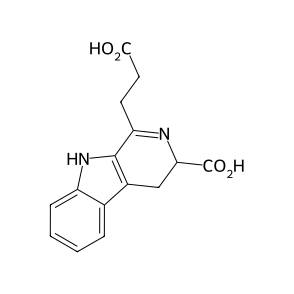 O=C(O)CCC1=NC(C(=O)O)Cc2c1[nH]c1ccccc21